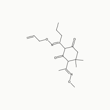 C=CCON=C(CCC)C1C(=O)CC(C)(C)C(C(C)=NOC)C1=O